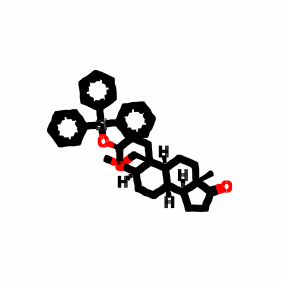 COC[C@]12CC[C@H](O[Si](c3ccccc3)(c3ccccc3)c3ccccc3)C[C@@H]1CC[C@@H]1[C@@H]2CC[C@]2(C)C(=O)CC[C@@H]12